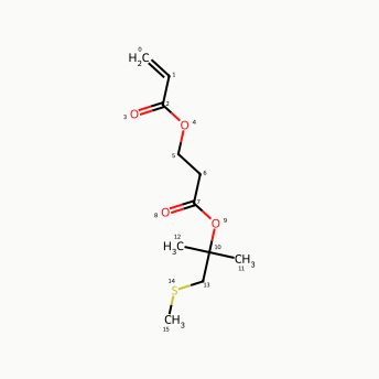 C=CC(=O)OCCC(=O)OC(C)(C)CSC